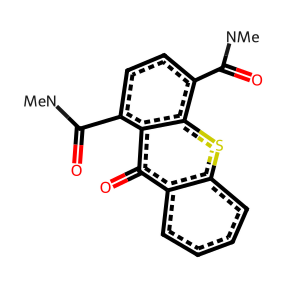 CNC(=O)c1ccc(C(=O)NC)c2c(=O)c3ccccc3sc12